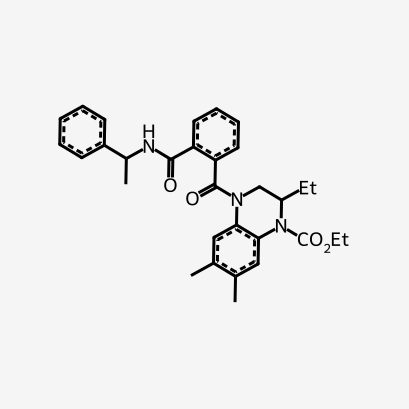 CCOC(=O)N1c2cc(C)c(C)cc2N(C(=O)c2ccccc2C(=O)NC(C)c2ccccc2)CC1CC